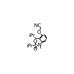 CC(C)Cc1c(OCC#N)cccc1N(C)S(=O)(=O)C(C)C